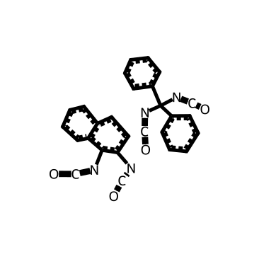 O=C=NC(N=C=O)(c1ccccc1)c1ccccc1.O=C=Nc1ccc2ccccc2c1N=C=O